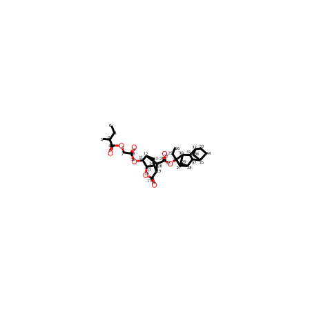 CCC(C)C(=O)OCC(=O)OC1C2CC3C1OC(=O)C3C2C(=O)OC1(CC)CC2CC1C1C3CCC(C3)C21